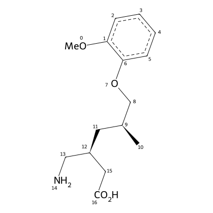 COc1ccccc1OC[C@@H](C)C[C@H](CN)CC(=O)O